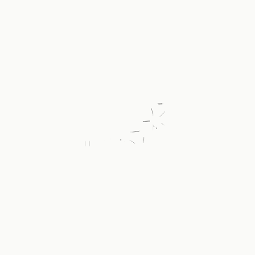 CCc1cc(BOC(C)(C)C(C)(C)O)ccc1CN1C(=O)c2ccccc2C1=O